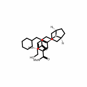 CNC(=O)c1cccc([C@H]2C[C@H]3CC[C@@H](C2)N3CCN(CC2CCCCC2)C(=O)[C@@H](O)CO)c1